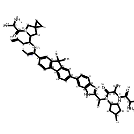 C=CCC(N/C(=C\C)c1ccc2c(c1)C(F)(F)c1cc(-c3ccc4nc(C(C)N(C(=O)C(NC(=O)C(N)C(C)C)C(C)C)C5CCC(C)C5)[nH]c4c3)ccc1-2)C1CC2(CC2)CN1C(=O)C(N)C(C)C